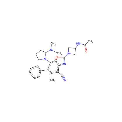 CC(=O)NC1CN(c2nc3c(C#N)c(C)c(-c4ccccc4)c(N4CCCC4N(C)C)c3o2)C1